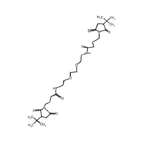 CC(C)(C)C1CC(=O)N(CCCC(=O)NCCOCCOCCNC(=O)CCCN2C(=O)CC(C(C)(C)C)C2=O)C1=O